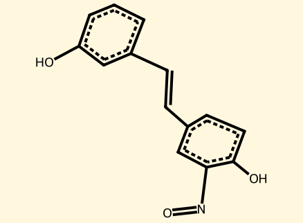 O=Nc1cc(/C=C/c2cccc(O)c2)ccc1O